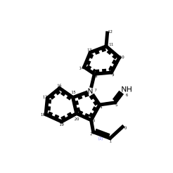 C/C=C\c1c(C=N)n(-c2ccc(C)cc2)c2ccccc12